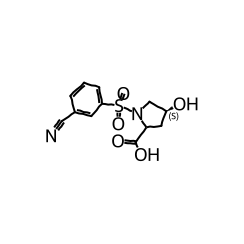 N#Cc1cccc(S(=O)(=O)N2C[C@@H](O)CC2C(=O)O)c1